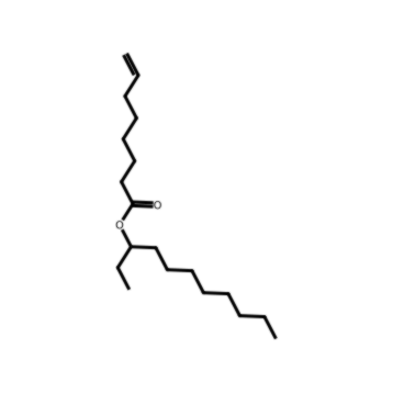 C=CCCCCCC(=O)OC(CC)CCCCCCCC